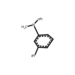 CCCN(C)c1cccc(C(C)C)c1